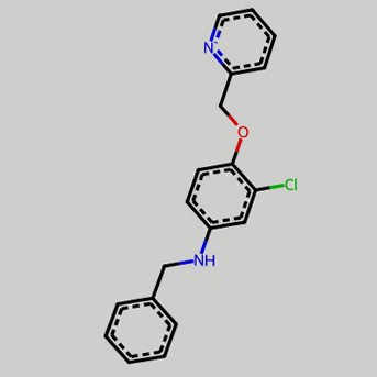 Clc1cc(NCc2ccccc2)ccc1OCc1ccccn1